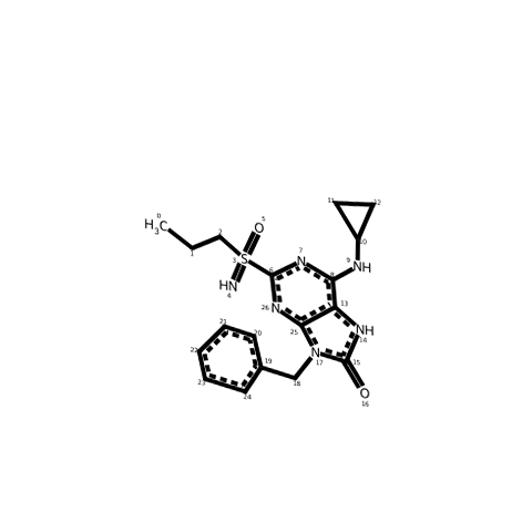 CCCS(=N)(=O)c1nc(NC2CC2)c2[nH]c(=O)n(Cc3ccccc3)c2n1